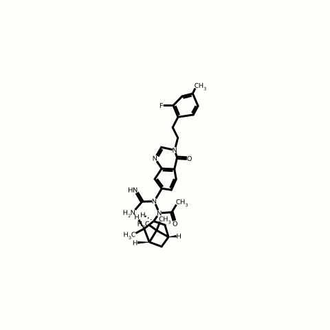 CC(=O)N([C@H]1C[C@@H]2C[C@H]([C@@H]1C)C2(C)C)N(C(=N)N)c1ccc2c(=O)n(CCc3ccc(C)cc3F)cnc2c1